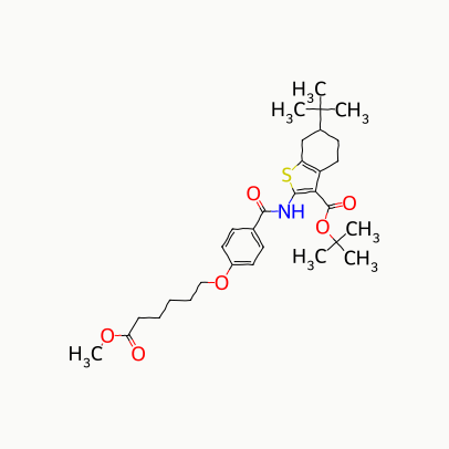 COC(=O)CCCCCOc1ccc(C(=O)Nc2sc3c(c2C(=O)OC(C)(C)C)CCC(C(C)(C)C)C3)cc1